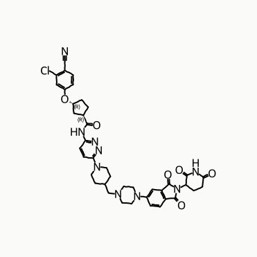 N#Cc1ccc(O[C@@H]2CC[C@@H](C(=O)Nc3ccc(N4CCC(CN5CCN(c6ccc7c(c6)C(=O)N(C6CCC(=O)NC6=O)C7=O)CC5)CC4)nn3)C2)cc1Cl